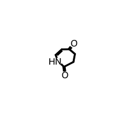 O=C1C=CNC(=O)CC1